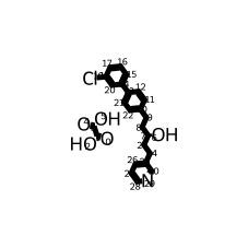 O=C(O)C(=O)O.O[C@H](CCc1ccc(-c2cccc(Cl)c2)cc1)CCc1cccnc1